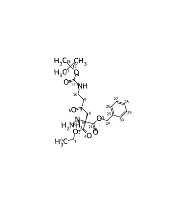 CCOC(=O)[C@](CC(=O)CCNC(=O)OC(C)(C)C)(NN)C(=O)OCc1ccccc1